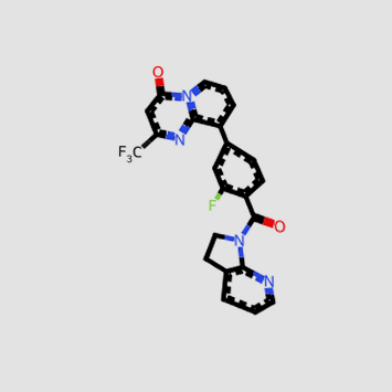 O=C(c1ccc(-c2cccn3c(=O)cc(C(F)(F)F)nc23)cc1F)N1CCc2cccnc21